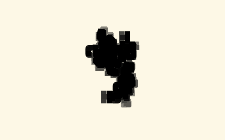 CCc1cccc(-c2c(Cl)cccc2[C@](O)(CCCNC(C)=O)C2CCCN(C(=O)c3ccc(CN(C)C(=O)O)cc3)C2)c1